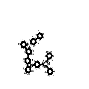 c1ccc(-c2ccc(-n3c4ccccc4c4cc(-c5ccc6c7ccccc7n(-c7ccc(-c8nc(-c9ccccc9)nc(-c9ccccc9)n8)cc7)c6c5)ccc43)cc2)cc1